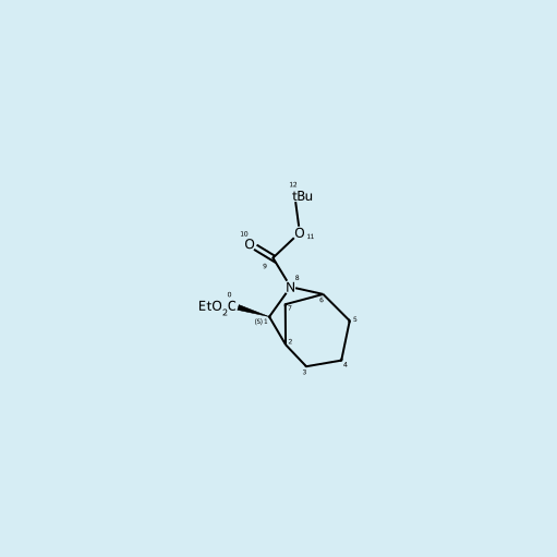 CCOC(=O)[C@@H]1C2CCCC(C2)N1C(=O)OC(C)(C)C